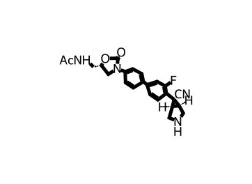 CC(=O)NC[C@H]1CN(c2ccc(-c3ccc([C@@]4(C#N)[C@@H]5CNC[C@@H]54)c(F)c3)cc2)C(=O)O1